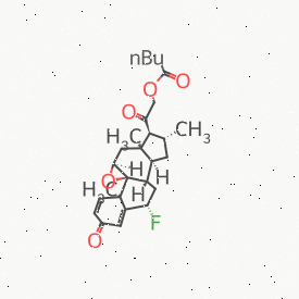 CCCCC(=O)OCC(=O)[C@H]1[C@H](C)C[C@H]2[C@@H]3C[C@H](F)C4=CC(=O)C=C[C@]4(C)[C@@]34O[C@H]4C[C@@]21C